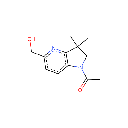 CC(=O)N1CC(C)(C)c2nc(CO)ccc21